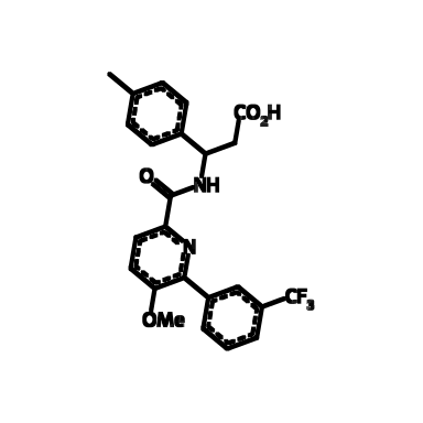 COc1ccc(C(=O)NC(CC(=O)O)c2ccc(C)cc2)nc1-c1cccc(C(F)(F)F)c1